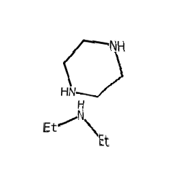 C1CNCCN1.CCNCC